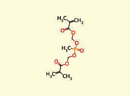 C=C(C)C(=O)OCOP(C)(=O)OCOC(=O)C(=C)C